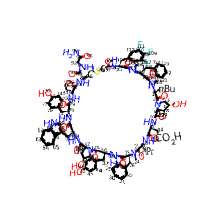 CCCC[C@H]1C(=O)N2C[C@H](O)C[C@@H]2C(=O)N[C@@H](CC(=O)O)C(=O)N[C@@H](C(C)C)C(=O)N(C)[C@@H](Cc2ccccc2)C(=O)N[C@@H](Cc2ccc(O)cc2)C(=O)N2C[C@H](O)C[C@H]2C(=O)N[C@@H](Cc2c[nH]c3ccccc23)C(=O)N[C@@H](Cc2ccc(O)cc2)C(=O)N[C@@H](CC(C)C)C(=O)N[C@H](C(=O)NCC(N)=O)CSCC(=O)N[C@@H](Cc2cc(F)c(F)c(F)c2)C(=O)N(C)[C@@H](Cc2ccccc2)C(=O)N1C